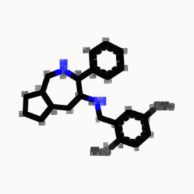 COc1ccc(OC)c(CNC2CC3CCCC3CNC2c2ccccc2)c1